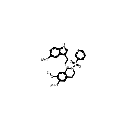 CCOc1cc2c(cc1OC)CCN(S(=O)(=O)c1cccnc1)[C@H]2CCc1c[nH]c2ccc(OC)cc12